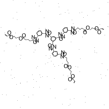 C=CC(=O)OCCCOC(=O)CCCc1nc(-c2cccc(-c3noc(-c4cc(-c5nc(-c6cccc(-c7noc(CCCC(=O)OCCCOC(=O)C=C)n7)c6)no5)cc(-c5nc(-c6cccc(-c7noc(CCCC(=O)OCCCOC(=O)C=C)n7)c6)no5)c4)n3)c2)no1